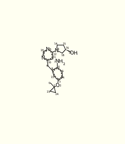 CC1(Oc2ccc(N)c(Cc3cc(N4CC[C@@H](O)C4)ncn3)c2)CC1